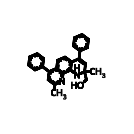 Cc1cc(-c2ccccc2)c2ccc3c(c2n1)NC(C)(CO)C=C3c1ccccc1